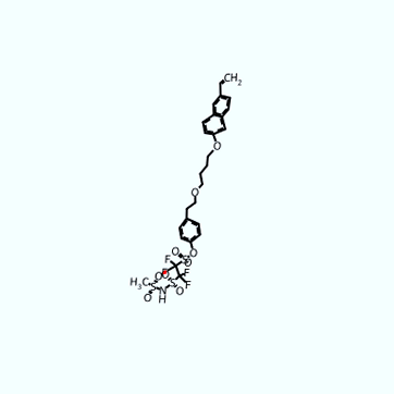 C=Cc1ccc2cc(OCCCCOCCc3ccc(OS(=O)(=O)C(F)(F)C(F)(F)S(=O)(=O)NS(C)(=O)=O)cc3)ccc2c1